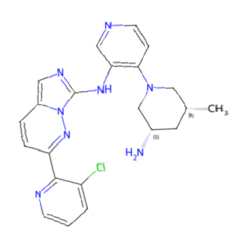 C[C@@H]1C[C@H](N)CN(c2ccncc2Nc2ncc3ccc(-c4ncccc4Cl)nn23)C1